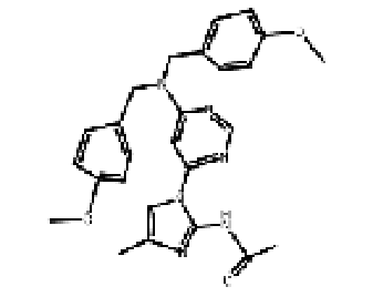 COc1ccc(CN(Cc2ccc(OC)cc2)c2cc(-n3cc(C)nc3NC(C)=O)ncn2)cc1